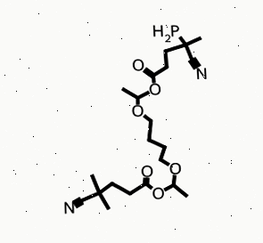 CC(OCCCCOC(C)OC(=O)CCC(C)(P)C#N)OC(=O)CCC(C)(C)C#N